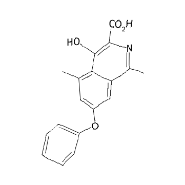 Cc1nc(C(=O)O)c(O)c2c(C)cc(Oc3ccccc3)cc12